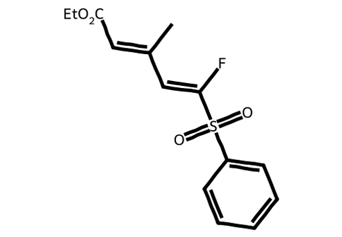 CCOC(=O)/C=C(C)/C=C(\F)S(=O)(=O)c1ccccc1